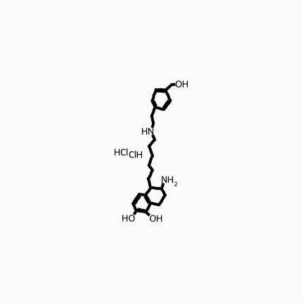 Cl.Cl.NC1CCc2c(ccc(O)c2O)C1CCCCCCNCCc1ccc(CO)cc1